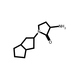 NC1CCN(C2CC3CCCC3C2)C1=O